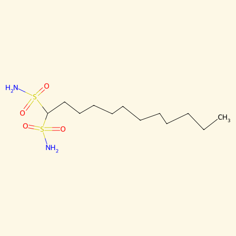 CCCCCCCCCCCC(S(N)(=O)=O)S(N)(=O)=O